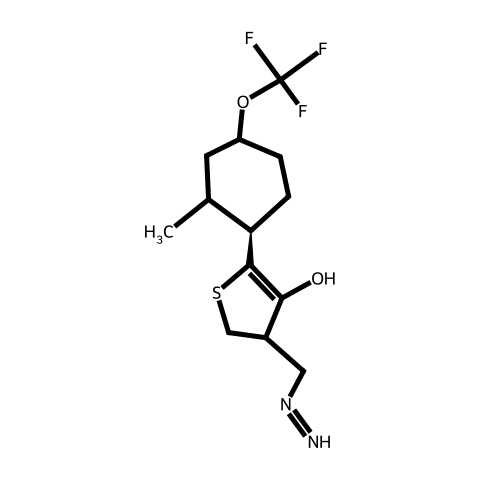 CC1CC(OC(F)(F)F)CC[C@H]1C1=C(O)C(CN=N)CS1